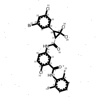 O=C(Nc1c(F)cccc1F)c1cc(NC(=O)[C@@H]2[C@@H](c3cc(Cl)cc(Br)c3)C2(Cl)Cl)ccc1Cl